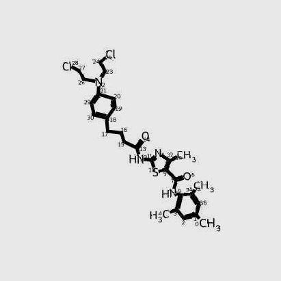 Cc1cc(C)c(NC(=O)c2sc(NC(=O)CCCc3ccc(N(CCCl)CCCl)cc3)nc2C)c(C)c1